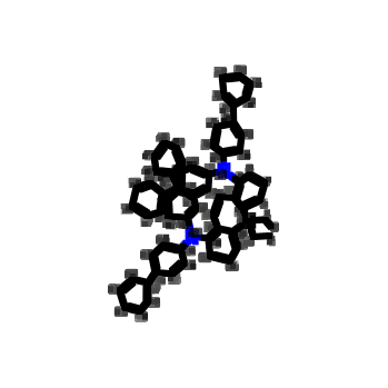 CC[Si]1(CC)c2cccc(N(c3ccc(-c4ccccc4)cc3)c3ccc(-c4ccccc4)cc3)c2C=Cc2c(N(c3ccc(-c4ccccc4)cc3)c3ccc(-c4ccccc4)cc3)cccc21